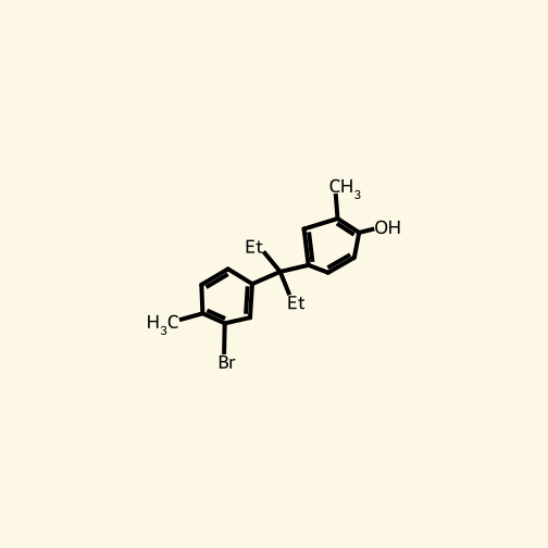 CCC(CC)(c1ccc(O)c(C)c1)c1ccc(C)c(Br)c1